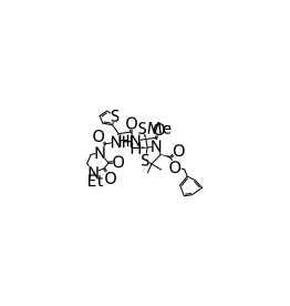 CCN1CCN(C(=O)NC(C(=O)N[C@]2(SC)C(=O)N3[C@@H](C(=O)OCc4ccccc4)C(C)(C)S[C@@H]32)c2cccs2)C(=O)C1=O